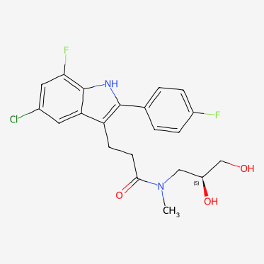 CN(C[C@H](O)CO)C(=O)CCc1c(-c2ccc(F)cc2)[nH]c2c(F)cc(Cl)cc12